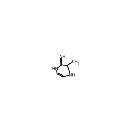 CC1NC=CNC1=N